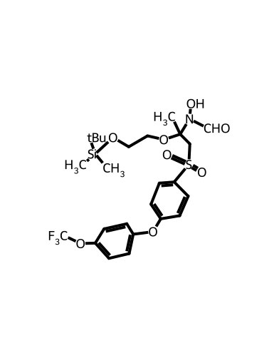 CC(CS(=O)(=O)c1ccc(Oc2ccc(OC(F)(F)F)cc2)cc1)(OCCO[Si](C)(C)C(C)(C)C)N(O)C=O